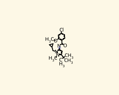 COc1cc(Cl)ccc1C(=O)/N=c1\cc(C(C)(C)C)n(C)n1CC1CC1